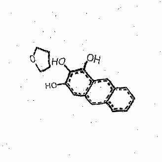 C1CCOC1.Oc1cc2cc3ccccc3cc2c(O)c1O